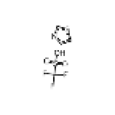 O=S(=O)(O)C(F)(F)F.c1cscn1